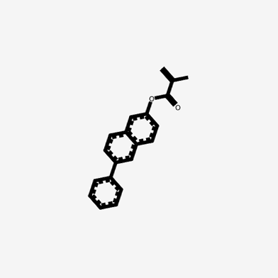 C=C(C)C(=O)Oc1ccc2cc(-c3ccccc3)ccc2c1